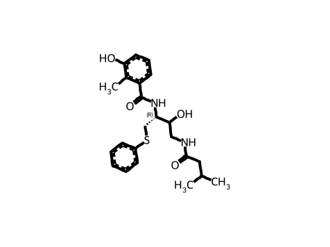 Cc1c(O)cccc1C(=O)N[C@@H](CSc1ccccc1)C(O)CNC(=O)CC(C)C